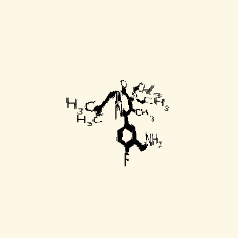 CCN(CC)c1c(C)c(-c2ccc(F)c(CN)c2)nn(CC(C)C)c1=O